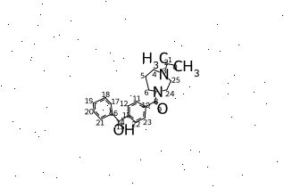 CC(C)N1CCCN(C(=O)c2ccc(C(O)c3ccccc3)cc2)CC1